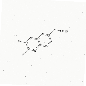 CCOC(=O)Cc1ccc2nc(F)c(F)cc2c1